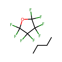 CCCC.FC1(F)OC(F)(F)C(F)(F)C1(F)F